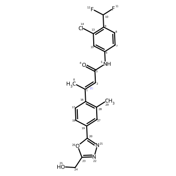 C/C(=C\C(=O)Nc1ccc(C(F)F)c(Cl)c1)c1ccc(-c2nnc(CO)o2)cc1C